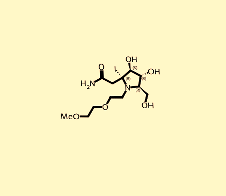 COCCOCCN1[C@H](CO)[C@@H](O)[C@H](O)[C@]1(I)CC(N)=O